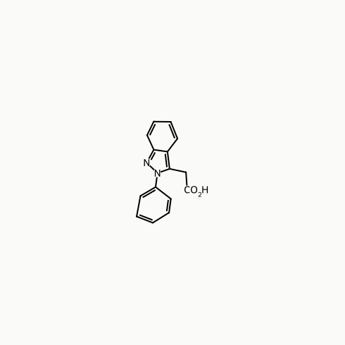 O=C(O)Cc1c2ccccc2nn1-c1ccccc1